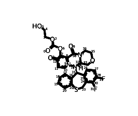 O=C(OCCO)Oc1c2n(ccc1=O)N([C@@H]1c3ccccc3SCc3c1ccc(F)c3F)[C@@H]1COCCN1C2=O